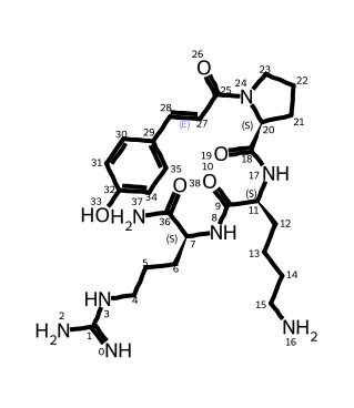 N=C(N)NCCC[C@H](NC(=O)[C@H](CCCCN)NC(=O)[C@@H]1CCCN1C(=O)/C=C/c1ccc(O)cc1)C(N)=O